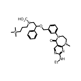 CCNc1ncc2c(n1)N(C)CCN(c1cccc(COC(CN(CCC[Si](C)(C)C)C(=O)O)c3ccccc3)c1)C2=O